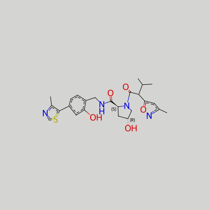 Cc1cc(C(C(=O)N2C[C@H](O)C[C@H]2C(=O)NCc2ccc(-c3scnc3C)cc2O)C(C)C)on1